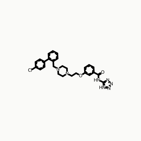 O=C(Nc1nnn[nH]1)c1cccc(OCCN2CCN(Cc3ccccc3-c3ccc(Cl)cc3)CC2)c1